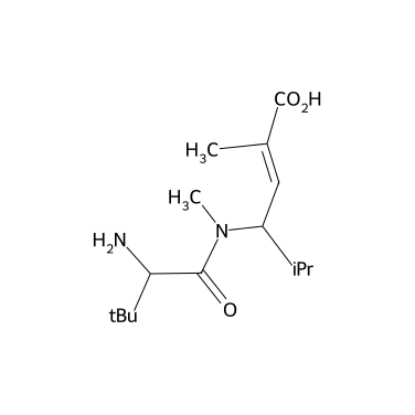 CC(=CC(C(C)C)N(C)C(=O)C(N)C(C)(C)C)C(=O)O